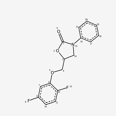 O=C1OC(COc2cc(F)ccc2F)CN1c1ccccc1